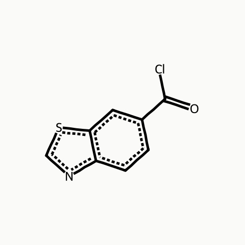 O=C(Cl)c1ccc2ncsc2c1